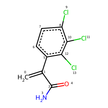 C=C(C(N)=O)c1ccc(Cl)c(Cl)c1Cl